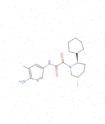 Cc1cc(NC(=O)C(=O)N2C[C@@H](C)CC[C@@H]2C2CCCCC2)cnc1N